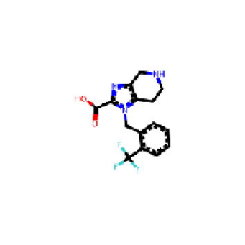 O=C(O)c1nc2c(n1Cc1ccccc1C(F)(F)F)CCNC2